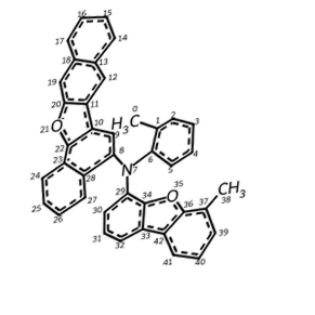 Cc1ccccc1N(c1cc2c3cc4ccccc4cc3oc2c2ccccc12)c1cccc2c1oc1c(C)cccc12